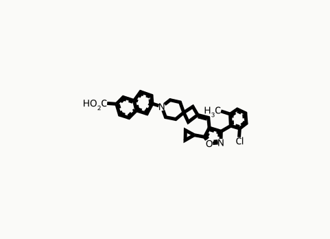 Cc1cccc(Cl)c1-c1noc(C2CC2)c1C=C1CC2(CCN(c3ccc4cc(C(=O)O)ccc4c3)CC2)C1